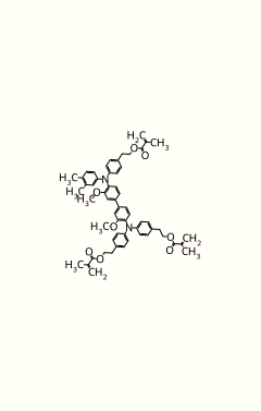 C=C(C)C(=O)OCCc1ccc(N(c2ccc(CCOC(=O)C(=C)C)cc2)c2ccc(-c3ccc(N(c4ccc(CCOC(=O)C(=C)C)cc4)c4ccc(C)c(C)c4)c(OC)c3)cc2OC)cc1